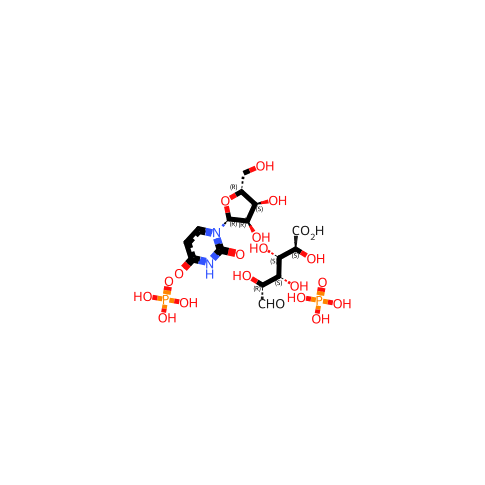 O=C[C@H](O)[C@@H](O)[C@H](O)[C@H](O)C(=O)O.O=P(O)(O)O.O=P(O)(O)O.O=c1ccn([C@@H]2O[C@H](CO)[C@@H](O)[C@H]2O)c(=O)[nH]1